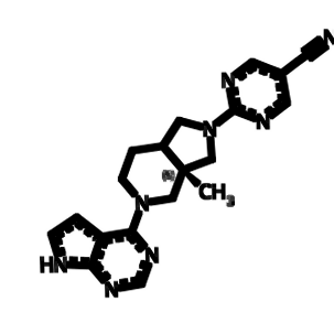 C[C@]12CN(c3ncc(C#N)cn3)CC1CCN(c1ncnc3[nH]ccc13)C2